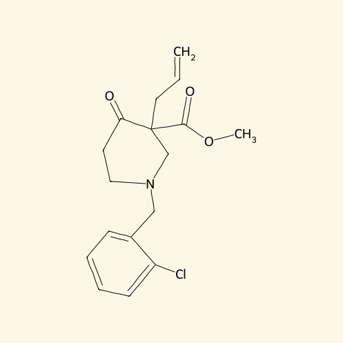 C=CCC1(C(=O)OC)CN(Cc2ccccc2Cl)CCC1=O